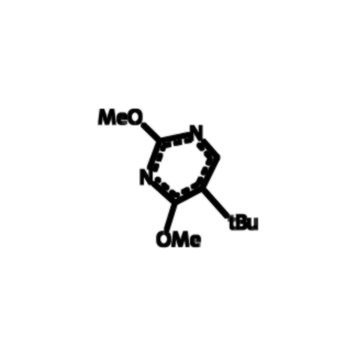 COc1ncc(C(C)(C)C)c(OC)n1